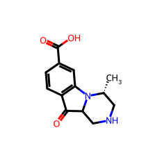 C[C@@H]1CNCC2C(=O)c3ccc(C(=O)O)cc3N21